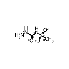 CS(=O)(=O)NC(=O)NN